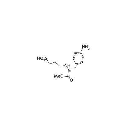 COC(=O)[C@@H](Cc1ccc(N)cc1)NCCCS(=O)(=O)O